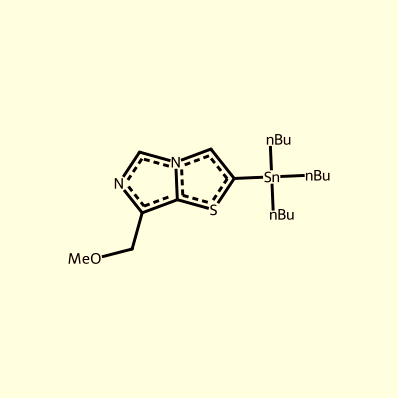 CCC[CH2][Sn]([CH2]CCC)([CH2]CCC)[c]1cn2cnc(COC)c2s1